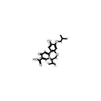 CC(C)COc1cc2c(cc1Cl)-c1cc(=O)c(C(=O)O)cn1C(C(C)C)CO2